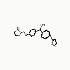 OC(c1ccc(OCC2CCCN2)cc1)c1ccc(-c2ccsc2)cc1